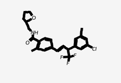 Cc1cc(Cl)cc(C(/C=C/c2ccc(C(=O)NCC3CCCO3)c(C)c2)C(F)(F)F)c1